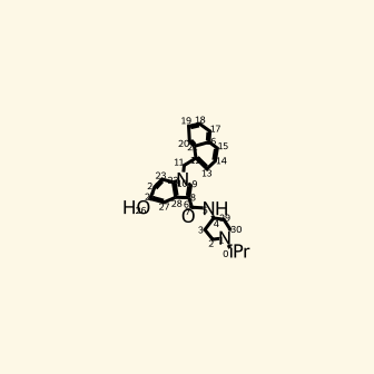 CC(C)N1CCC(NC(=O)c2cn(Cc3cccc4ccccc34)c3ccc(O)cc23)CC1